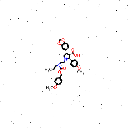 CCCN(CCN1C[C@H](c2ccc3c(c2)OCO3)[C@H](C(=O)O)[C@H]1c1ccc(OC)cc1)C(=O)OCc1ccc(OC)cc1